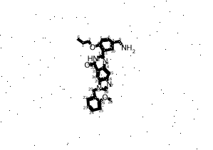 CCCOc1ccc(CN)cc1-c1nc2cc3ncn(Cc4ccccc4OC)c3cc2c(=O)[nH]1